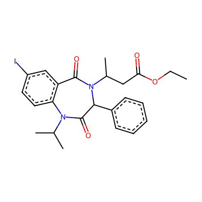 CCOC(=O)CC(C)N1C(=O)c2cc(I)ccc2N(C(C)C)C(=O)C1c1ccccc1